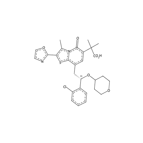 Cc1c(-c2ncco2)sc2c(C[C@H](OC3CCOCC3)c3ccccc3Cl)cc(C(C)(C)C(=O)O)c(=O)n12